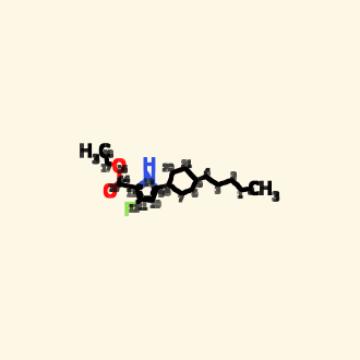 CCCCC[C@H]1CC[C@@H](c2cc(F)c(C(=O)OCC)[nH]2)CC1